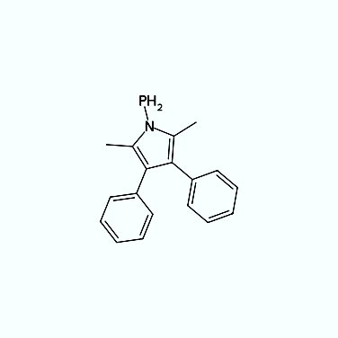 Cc1c(-c2ccccc2)c(-c2ccccc2)c(C)n1P